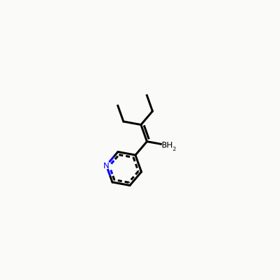 BC(=C(CC)CC)c1cccnc1